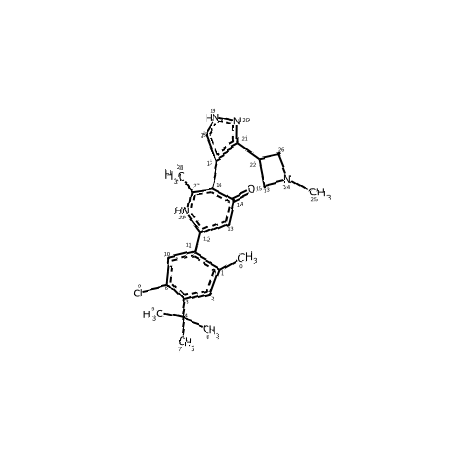 Cc1cc(C(C)(C)C)c(Cl)cc1-c1cc(=O)c(-c2c[nH]nc2C2CN(C)C2)c(C)[nH]1